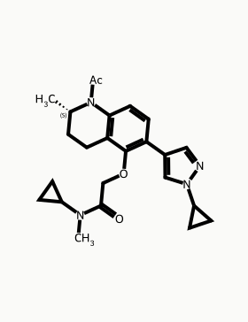 CC(=O)N1c2ccc(-c3cnn(C4CC4)c3)c(OCC(=O)N(C)C3CC3)c2CC[C@@H]1C